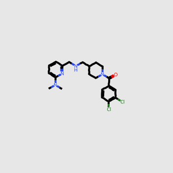 CN(C)c1cccc(CNCC2CCN(C(=O)c3ccc(Cl)c(Cl)c3)CC2)n1